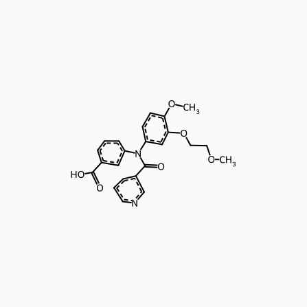 COCCOc1cc(N(C(=O)c2cccnc2)c2cccc(C(=O)O)c2)ccc1OC